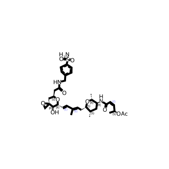 CC(=O)O[C@@H](C)/C=C\C(=O)N[C@@H]1C[C@H](C)[C@H](C/C=C(C)/C=C/[C@H]2O[C@H](CC(=O)NCc3ccc(S(N)(=O)=O)cc3)C[C@@]3(CO3)[C@@H]2O)O[C@@H]1C